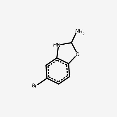 NC1Nc2cc(Br)ccc2O1